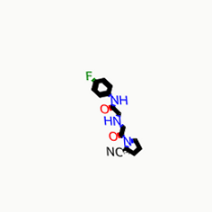 N#C[C@@H]1CCCN1C(=O)CNCC(=O)Nc1ccc(F)cc1